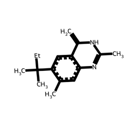 C=C1NC(C)=Nc2cc(C)c(C(C)(C)CC)cc21